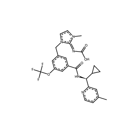 Cc1ccnc([C@@H](NC(=O)c2cc(Cn3ccn(C)/c3=N\C(=O)O)cc(OC(F)(F)F)c2)C2CC2)c1